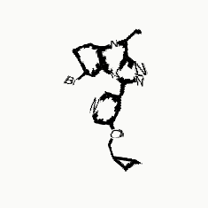 Cc1nc2ccc(Br)cc2n2c(-c3cncc(OCC4CC4)c3)nnc12